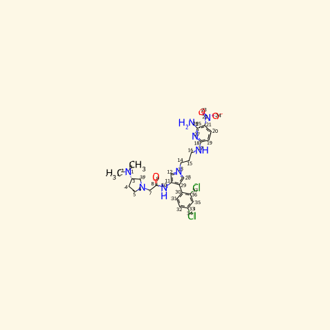 CN(C)[C@H]1CCN(CC(=O)Nc2cn(CCCNc3ccc([N+](=O)[O-])c(N)n3)cc2-c2ccc(Cl)cc2Cl)C1